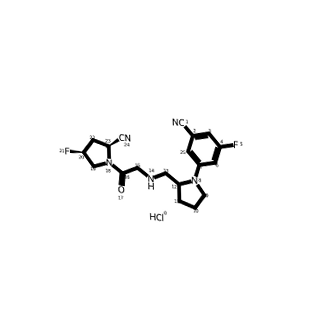 Cl.N#Cc1cc(F)cc(N2CCCC2CNCC(=O)N2C[C@@H](F)C[C@H]2C#N)c1